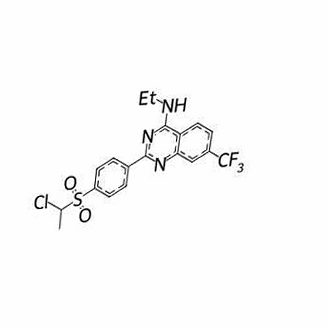 CCNc1nc(-c2ccc(S(=O)(=O)C(C)Cl)cc2)nc2cc(C(F)(F)F)ccc12